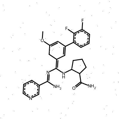 COC1=CC(c2cccc(F)c2F)=C/C(=C(/N=C(\N)c2cccnc2)NC2CCCC2C(N)=O)C1